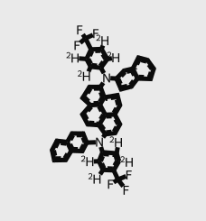 [2H]c1c([2H])c(C(F)(F)F)c([2H])c([2H])c1N(c1ccc2ccccc2c1)c1ccc2ccc3c(N(c4ccc5ccccc5c4)c4c([2H])c([2H])c(C(F)(F)F)c([2H])c4[2H])ccc4ccc1c2c43